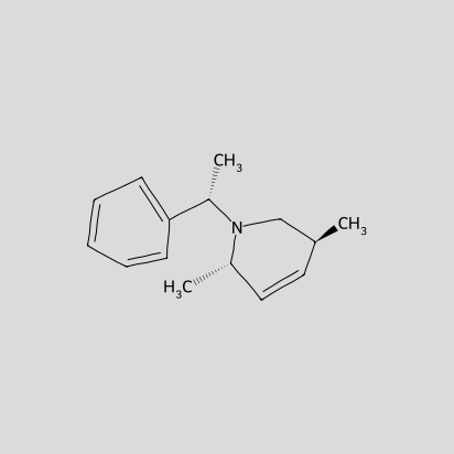 C[C@H]1C=C[C@H](C)N([C@@H](C)c2ccccc2)C1